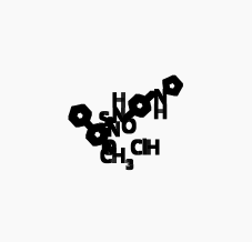 COc1ccc(-c2ccccc2)c2sc(NC(=O)c3ccc(CNC4CCCC4)cc3)nc12.Cl